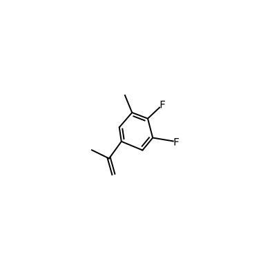 C=C(C)c1cc(C)c(F)c(F)c1